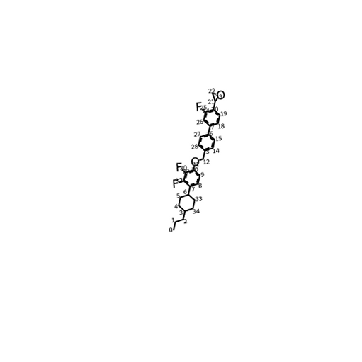 CCCC1CCC(c2ccc(OCc3ccc(-c4ccc(C5CO5)c(F)c4)cc3)c(F)c2F)CC1